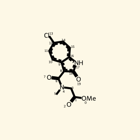 COC(=O)CN(C)C(=O)c1c2ccc(Cl)ccc-2[nH]c1=O